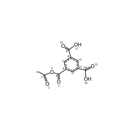 CC(=O)OC(=O)c1cc(C(=O)O)cc(C(=O)O)c1